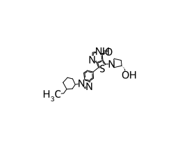 CCC1CCCC(n2cnc3cc(-c4sc(N5CC[C@H](CO)C5)c5c(=O)[nH]cnc45)ccc32)C1